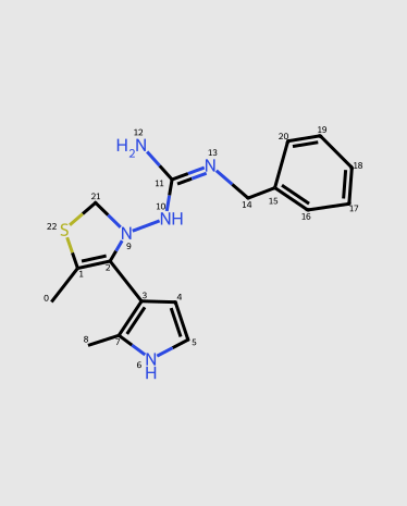 CC1=C(c2cc[nH]c2C)N(NC(N)=NCc2ccccc2)CS1